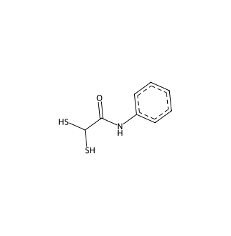 O=C(Nc1ccccc1)C(S)S